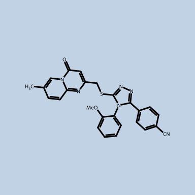 COc1ccccc1-n1c(SCc2cc(=O)n3cc(C)ccc3n2)nnc1-c1ccc(C#N)cc1